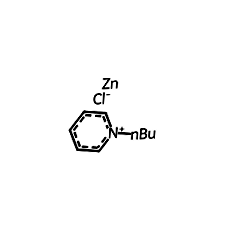 CCCC[n+]1ccccc1.[Cl-].[Zn]